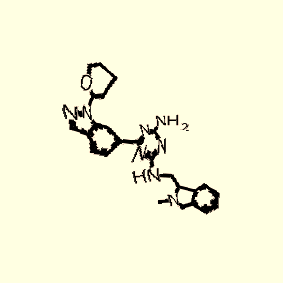 CN1Cc2ccccc2C1CNc1nc(N)nc(-c2ccc3cnn(C4CCCCO4)c3c2)n1